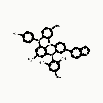 Cc1cc2c3c(c1)N(c1c(C)cc(C(C)(C)C)cc1C)c1cc(-c4ccc5occc5c4)ccc1B3c1cc(C(C)(C)C)ccc1N2c1ccc(C(C)(C)C)cc1